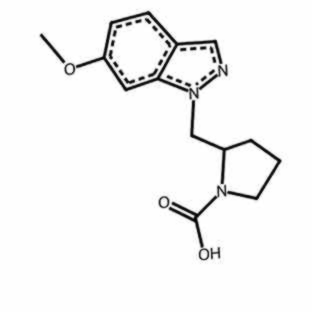 COc1ccc2cnn(CC3CCCN3C(=O)O)c2c1